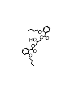 CCCCOc1ccccc1C(=O)OCC(O)COC(=O)c1ccccc1OCCCC